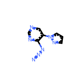 [N-]=[N+]=Nc1ncncc1-n1cccn1